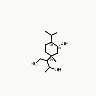 CC(O)C(CO)[C@]1(C)CC[C@@H](C(C)C)[C@H](O)C1